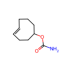 NC(=O)OC1CC/C=C/CCC1